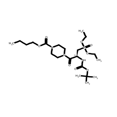 CCCCOC(=O)N1CCN(C(=O)[C@@H](CP(=O)(OCC)OCC)NC(=O)OC(C)(C)C)CC1